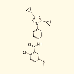 CSc1ccc(Cl)c(C(=O)Nc2ccc(-n3nc(C4CC4)cc3C3CC3)cc2)c1